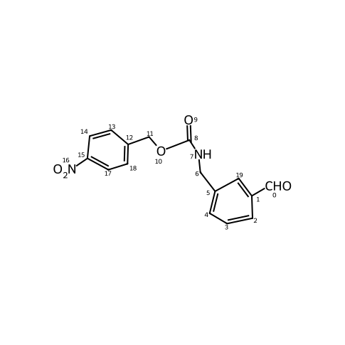 O=Cc1cccc(CNC(=O)OCc2ccc([N+](=O)[O-])cc2)c1